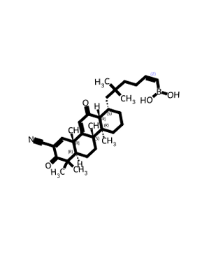 CC(C)(CC/C=C\B(O)O)C[C@@H]1CCC[C@]2(C)[C@@H]1C(=O)C=C1[C@@]3(C)C=C(C#N)C(=O)C(C)(C)[C@@H]3CC[C@]12C